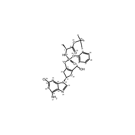 C[C@H](NP(=O)(OC1=C(CO)O[C@@H](n2cnc3c(N)nc(Cl)nc32)C1)Oc1ccccc1)C(=O)OC(C)(C)C